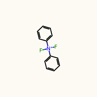 F[N+](F)(c1ccccc1)c1ccccc1